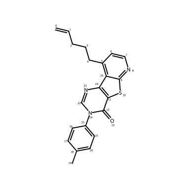 C=CCCCc1ccnc2sc3c(=O)n(-c4ccc(C)cc4)cnc3c12